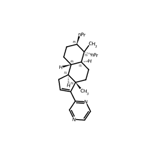 CCC[C@@H]1CC[C@@H]2[C@H](CC[C@]3(C)C(c4cnccn4)=CC[C@@H]23)[C@@]1(C)CCC